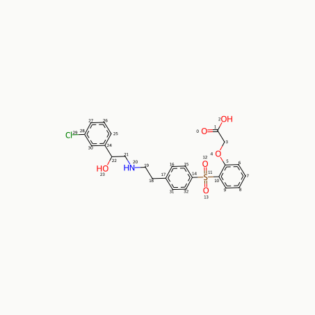 O=C(O)COc1ccccc1S(=O)(=O)c1ccc(CCNCC(O)c2cccc(Cl)c2)cc1